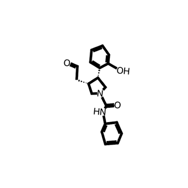 O=CC[C@H]1CN(C(=O)Nc2ccccc2)C[C@H]1c1ccccc1O